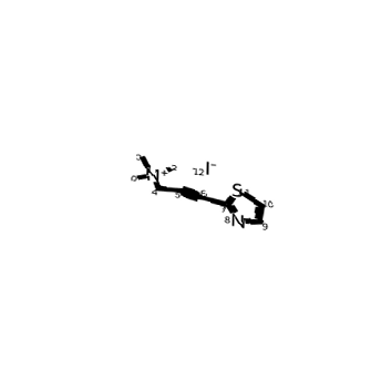 C[N+](C)(C)CC#Cc1nccs1.[I-]